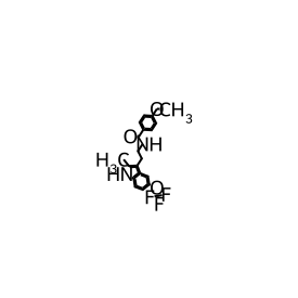 COc1ccc(C(=O)NCCc2c(C)[nH]c3ccc(OC(F)(F)F)cc23)cc1